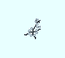 C=CCOC(=O)C1C(C(=O)CCC(O)COC(=O)C(C)(C)CC)C(C(=O)OCC=C)C1C(=O)OCC=C